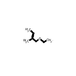 [CH2]COCC(C)=CC